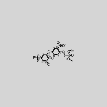 COP(=O)(COc1cc(Oc2c(Cl)cc(C(F)(F)F)cc2Cl)ccc1[N+](=O)[O-])OC